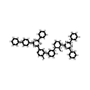 Cc1ccc(-c2nc(-c3ccccc3)nc(-c3ccc(-c4ccccc4)cc3)n2)cc1-c1cccc(C2C=CC=C(c3nc(-c4ccccc4)nc(-c4ccccc4)n3)C2C)c1